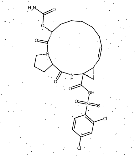 NC(=O)OC1CCCCCC=CC2CC2(C(=O)NS(=O)(=O)c2ccc(Cl)cc2Cl)NC(=O)C2CCCN2C1=O